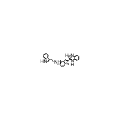 Nc1ccccc1NC(=O)c1cc2cc(CNCCc3c[nH]c4ccccc34)ccc2s1